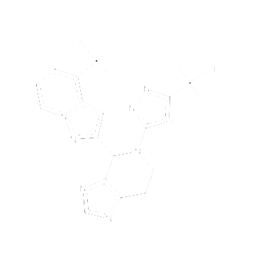 CC(F)(F)c1nnc(N2CCc3[nH]cnc3C2c2cc3c(C(F)(F)F)cccn3n2)o1